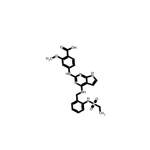 CCS(=O)(=O)Nc1ccccc1CNc1nc(Nc2ccc(C(=O)O)c(OC)c2)nc2[nH]ccc12